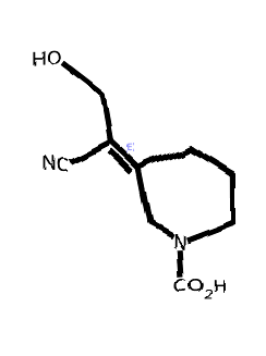 N#C/C(CO)=C1/CCCN(C(=O)O)C1